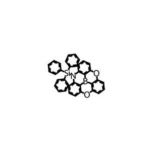 c1ccc([Si](c2ccccc2)(c2ccccc2)N2c3cccc4c3B3c5c(cccc5Oc5cccc2c53)O4)cc1